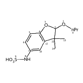 CCCOC1Oc2ccc(NS(=O)(=O)O)cc2C1(C)C